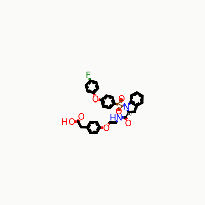 O=C(O)Cc1ccc(OCCNC(=O)[C@@H]2Cc3ccccc3N2S(=O)(=O)c2ccc(Oc3ccc(F)cc3)cc2)cc1